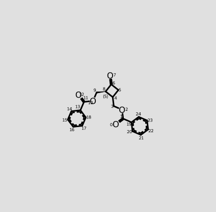 O=C(OCC1CC(=O)[C@@H]1COC(=O)c1ccccc1)c1ccccc1